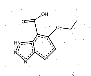 CCOc1ccc2nn[nH]c2c1C(=O)O